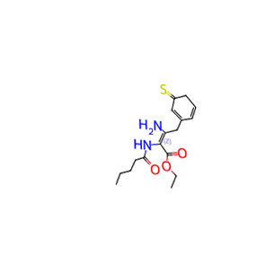 CCCCC(=O)N/C(C(=O)OCC)=C(\N)CC1=CC(=S)CC=C1